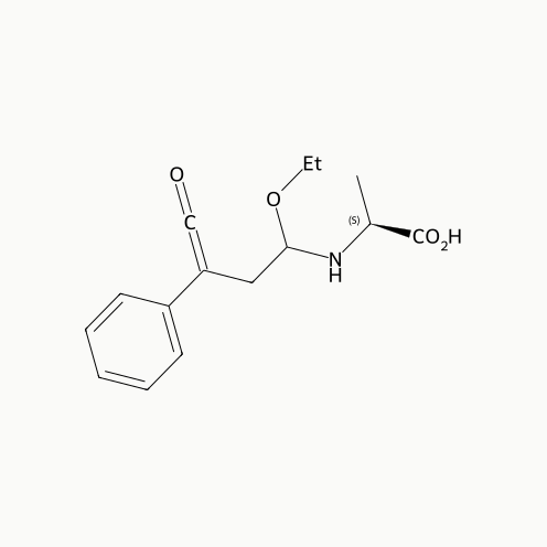 CCOC(CC(=C=O)c1ccccc1)N[C@@H](C)C(=O)O